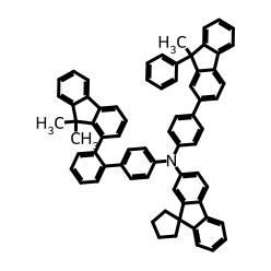 CC1(C)c2ccccc2-c2cccc(-c3ccccc3-c3ccc(N(c4ccc(-c5ccc6c(c5)C(C)(c5ccccc5)c5ccccc5-6)cc4)c4ccc5c(c4)C4(CCCC4)c4ccccc4-5)cc3)c21